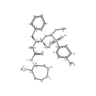 CC(C)CN(C[C@@H](O)[C@H](Cc1ccccc1)NC(=O)O[C@@H]1COOCCC1C)S(=O)(=O)c1ccc(N)cc1